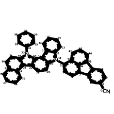 N#Cc1ccc2c(c1)-c1ccc(-n3c4ccccc4c4c3ccc3c5c6ccccc6ccc5n(-c5ccccc5)c34)c3cccc-2c13